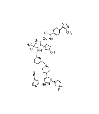 Cc1ncsc1-c1ccc([C@H](C)NC(=O)[C@@H]2C[C@@H](O)CN2C(=O)[C@@H](NCc2cccc(CN3CCC(c4cc(Nc5cc(C#N)ccn5)nc(N5CCC(F)(F)C5)c4)CC3)n2)C(C)(C)C)cc1